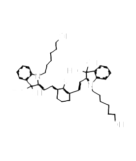 CC1(C)C(/C=C/C2=C(Cl)C(=C/C=C3\N(CCCCCCO)c4ccccc4C3(C)C)/CCC2)=[N+](CCCCCCO)c2ccccc21